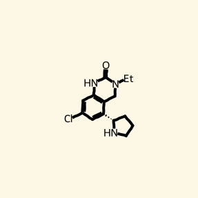 CCN1Cc2c(cc(Cl)cc2[C@@H]2CCCN2)NC1=O